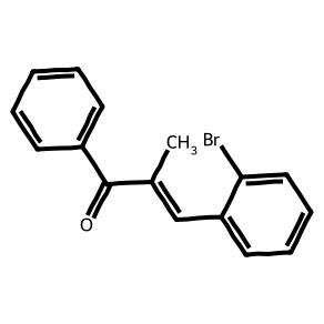 C/C(=C\c1ccccc1Br)C(=O)c1ccccc1